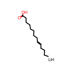 CCCCC=CCCCCCCCC(=O)O.[LiH]